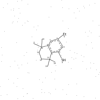 CCc1[c]c(S)c2c(c1)C(C)(C)CCC2(C)C